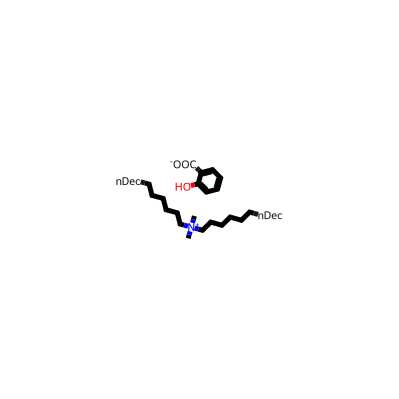 CCCCCCCCCCCCCCCC[N+](C)(C)CCCCCCCCCCCCCCCC.O=C([O-])c1ccccc1O